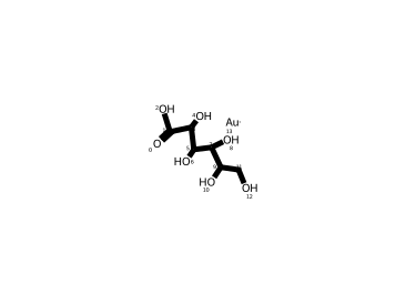 O=C(O)C(O)C(O)C(O)C(O)CO.[Au]